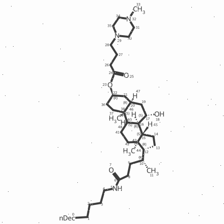 CCCCCCCCCCCCCCNC(=O)CC[C@@H](C)[C@H]1CC[C@H]2[C@@H]3[C@@H](O)C[C@@H]4C[C@H](OC(=O)CCCN5CCN(C)CC5)CC[C@]4(C)[C@H]3CC[C@]12C